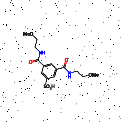 COCCNC(=O)c1cc(C(=O)NCCOC)cc(S(=O)(=O)O)c1